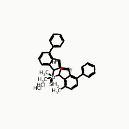 CCCC1=Cc2c(-c3ccccc3)ccc(C)c2[CH]1[Zr]([CH3])([CH3])(=[SiH2])[CH]1C(C(C)C)=Cc2c(-c3ccccc3)cccc21.Cl.Cl